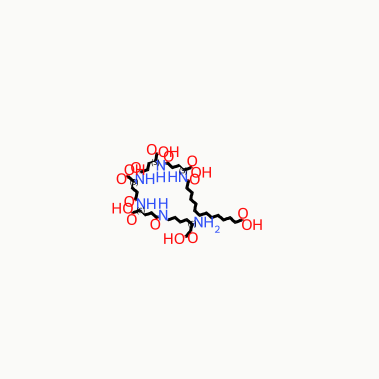 N[C@@H](CCCCNC(=O)CC[C@H](NC(=O)CC[C@H](NC(=O)CC[C@H](NC(=O)CC[C@H](NC(=O)CCCCCCCCCCCCC(=O)O)C(=O)O)C(=O)O)C(=O)O)C(=O)O)C1OC1O